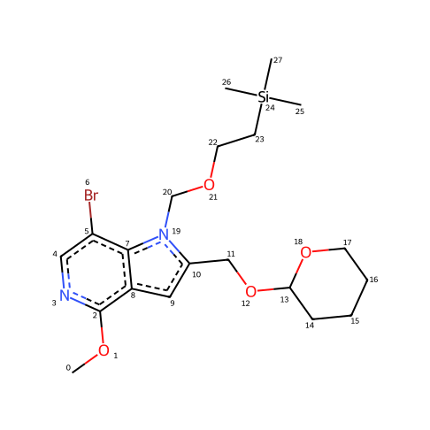 COc1ncc(Br)c2c1cc(COC1CCCCO1)n2COCC[Si](C)(C)C